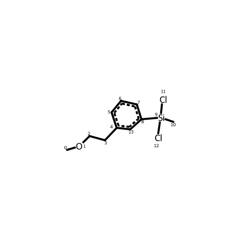 COCCc1cccc([Si](C)(Cl)Cl)c1